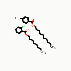 CCCCCCCCCCOC(=O)c1ccc(C)cc1.CCCCCCCCOC(=O)c1ccccc1Cl